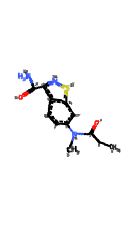 CCC(=O)N(C)c1ccc2c(C(N)=O)nsc2c1